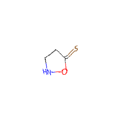 S=C1CCNO1